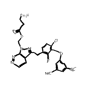 [C-]#[N+]c1cc(C#N)cc(Oc2c(Cl)ccc(Cc3nn(COC(=O)CCC(=O)O)c4nnccc34)c2F)c1